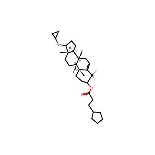 C[C@]12CCC(OC(=O)CCC3CCCC3)C(F)(F)C1=CC[C@@H]1[C@H]2CC[C@]2(C)C(OC3CC3)CC[C@@H]12